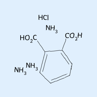 Cl.N.N.N.O=C(O)c1ccccc1C(=O)O